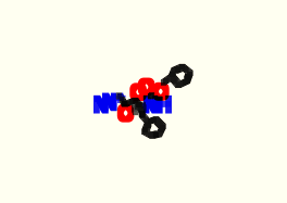 [N-]=[N+]=CC(=O)C(=O)[C@H](Cc1ccccc1)NC(=O)OCc1ccccc1